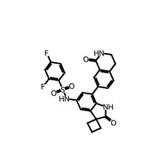 O=C1NCCc2ccc(-c3cc(NS(=O)(=O)c4ccc(F)cc4F)cc4c3NC(=O)C43CCC3)cc21